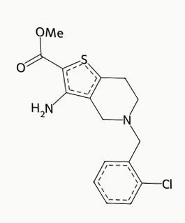 COC(=O)c1sc2c(c1N)CN(Cc1ccccc1Cl)CC2